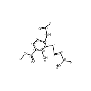 COC(=O)c1ccc(NC(C)=O)c(CC=CC(C)O)c1O